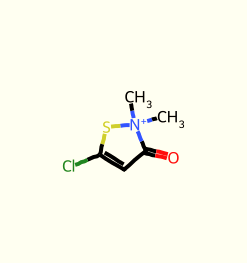 C[N+]1(C)SC(Cl)=CC1=O